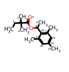 CCC(C)(C)C(=O)OC(C)c1c(C)cc(C)cc1C